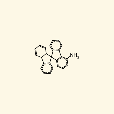 Nc1cccc2c1-c1ccccc1C21c2ccccc2C2C=CC=CC21